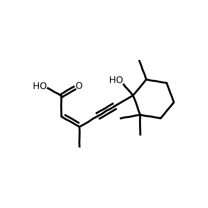 C/C(C#CC1(O)C(C)CCCC1(C)C)=C/C(=O)O